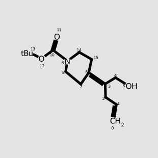 C=CCC(CO)=C1CCN(C(=O)OC(C)(C)C)CC1